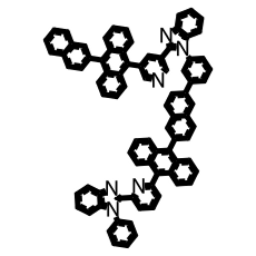 c1ccc(-n2c(-c3cccc(-c4c5ccccc5c(-c5ccc6cc(-c7cccc(-n8c(-c9cncc(-c%10c%11ccccc%11c(-c%11ccc%12ccccc%12c%11)c%11ccccc%10%11)c9)nc9ccccc98)c7)ccc6c5)c5ccccc45)n3)nc3ccccc32)cc1